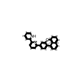 C1=CNC(c2cccc(-c3ccc4c(c3)Oc3cccc5cccc-4c35)n2)C=C1